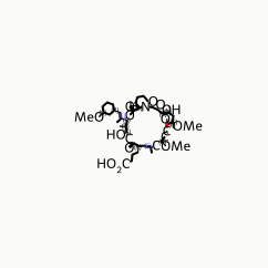 CO[C@@H]1CC[C@H]2O[C@@](O)(C(=O)C(=O)N3CCCC[C@H]3C(=O)O[C@H](/C(C)=C/[C@@H]3CCC[C@H](OC)C3)[C@H](C)[C@@H](O)CC(=O)[C@H](CCCC(=O)O)/C=C(\C)C1)[C@H](C)C[C@@H]2OC